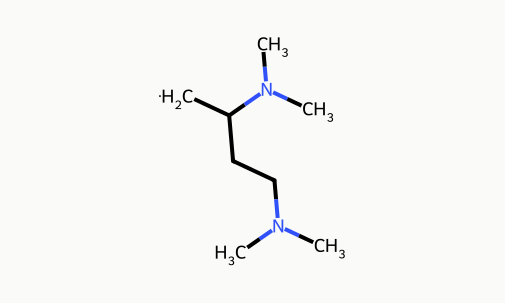 [CH2]C(CCN(C)C)N(C)C